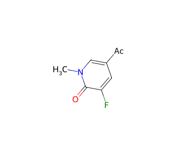 CC(=O)c1cc(F)c(=O)n(C)c1